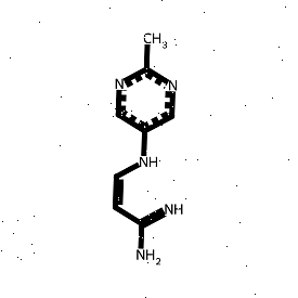 Cc1ncc(N/C=C\C(=N)N)cn1